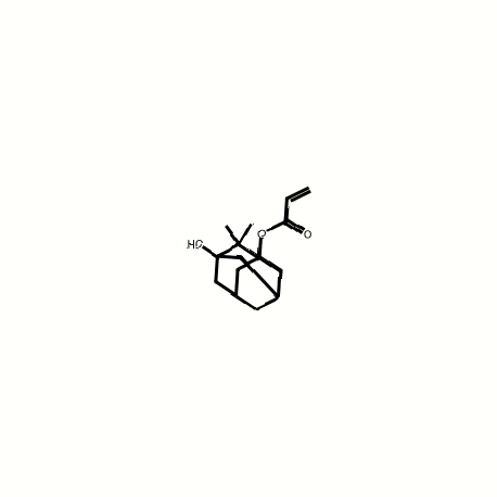 C=CC(=O)OC12CC3CC(CC(O)(C3)C1(C)C)C2